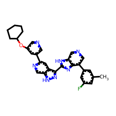 Cc1cc(F)cc(-c2cncc3[nH]c(-c4n[nH]c5cnc(-c6cncc(OC7CCCCC7)c6)cc45)nc23)c1